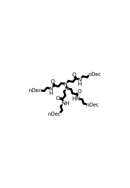 CCCCCCCCCCCCNC(=O)CCN(CCC(=O)NCCCCCCCCCCCC)N(CCC(=O)NCCCCCCCCCCCC)CCC(=O)NCCCCCCCCCCCC